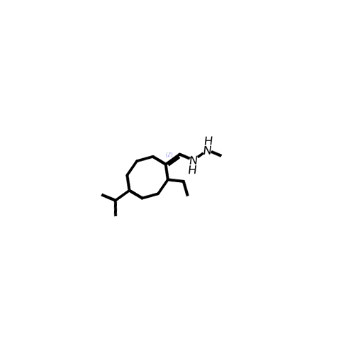 CCC1CCC(C(C)C)CCC/C1=C/NNC